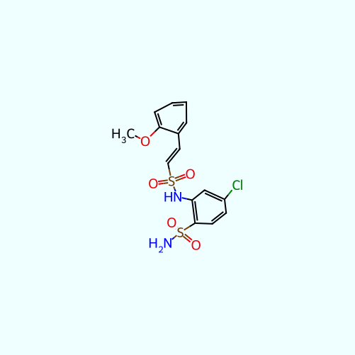 COc1ccccc1/C=C/S(=O)(=O)Nc1cc(Cl)ccc1S(N)(=O)=O